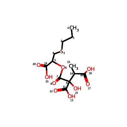 CCCSCC(OC(=O)C(O)(C(=O)O)C(C)C(=O)O)C(=O)O